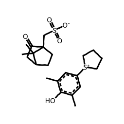 CC1(C)C2CCC1(CS(=O)(=O)[O-])C(=O)C2.Cc1cc([S+]2CCCC2)cc(C)c1O